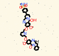 CNS(=O)(=O)c1ccc(C2=CCN3C(C=Nc4cc(OCc5cccc(COc6cc7c(cc6OC)C(=O)N6c8ccccc8C[C@H]6C=N7)n5)c(OC)cc4C3O)C2)cc1